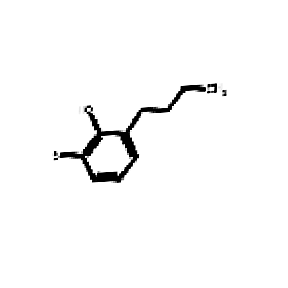 CCCCc1cccc([S])c1O